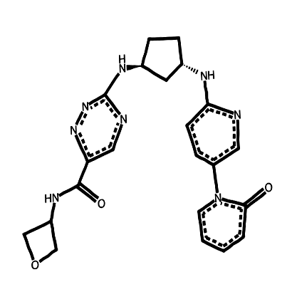 O=C(NC1COC1)c1cnc(N[C@H]2CC[C@H](Nc3ccc(-n4ccccc4=O)cn3)C2)nn1